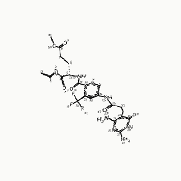 CCOC(=O)[C@H](CCC(=O)OC)NC(=O)c1ncc(NC(=O)Cc2c(N)nc(N)[nH]c2=O)cc1C(F)(F)F